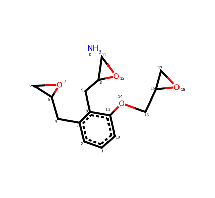 N.c1cc(CC2CO2)c(CC2CO2)c(OCC2CO2)c1